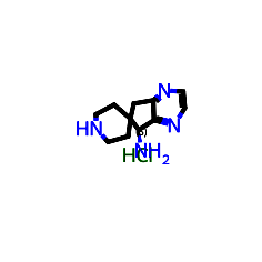 Cl.N[C@@H]1c2nccnc2CC12CCNCC2